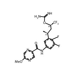 COc1cnc(C(=O)Nc2cc(F)c(F)c([C@@H](C)C[C@@H](OC(=N)N)C(F)(F)F)c2)cn1